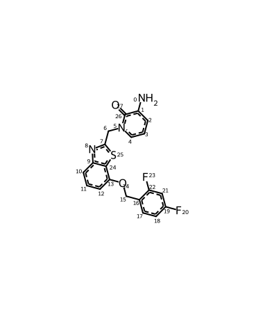 Nc1cccn(Cc2nc3cccc(OCc4ccc(F)cc4F)c3s2)c1=O